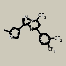 Cc1cc(-c2cnn3c(C(F)(F)F)cc(-c4ccc(C(F)(F)F)c(C(F)(F)F)c4)nc23)ccn1